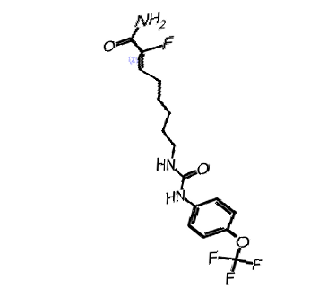 NC(=O)/C(F)=C/CCCCCNC(=O)Nc1ccc(OC(F)(F)F)cc1